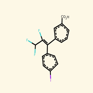 O=C(O)c1cccc(C(=C(F)C(F)F)c2ccc(I)cc2)c1